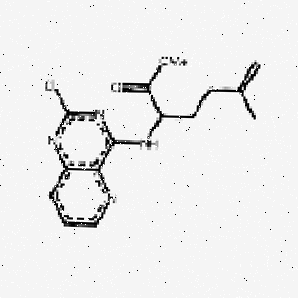 C=C(C)CCC(Nc1nc(Cl)nc2cccnc12)C(=O)OC